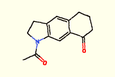 CC(=O)N1CCc2cc3c(cc21)C(=O)CCC3